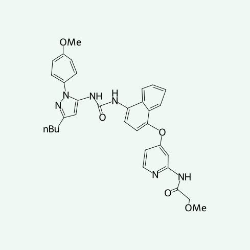 CCCCc1cc(NC(=O)Nc2ccc(Oc3ccnc(NC(=O)COC)c3)c3ccccc23)n(-c2ccc(OC)cc2)n1